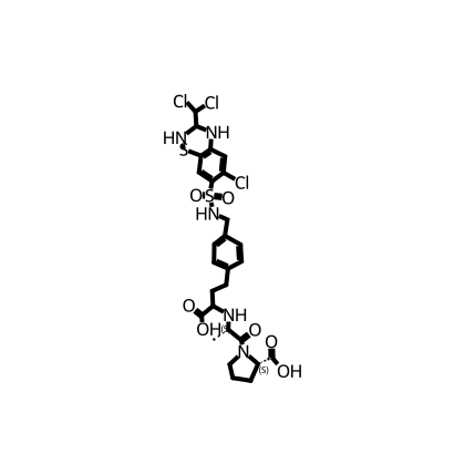 C[C@H](NC(CCc1ccc(CNS(=O)(=O)c2cc3c(cc2Cl)NC(C(Cl)Cl)NS3)cc1)C(=O)O)C(=O)N1CCC[C@H]1C(=O)O